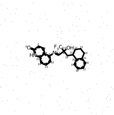 O=c1ccc2c(/N=C/C(O)(CC3CCCc4ccccc43)C(F)(F)F)cccc2[nH]1